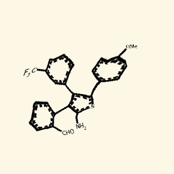 COc1ccc(-c2sc(N)c(-c3ccccc3C=O)c2-c2cccc(C(F)(F)F)c2)cc1